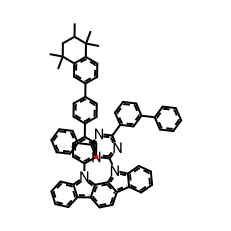 CC1CC(C)(C)c2cc(-c3ccc(-c4ccc(-n5c6ccccc6c6ccc7c8ccccc8n(-c8nc(-c9ccccc9)nc(-c9cccc(-c%10ccccc%10)c9)n8)c7c65)cc4)cc3)ccc2C1(C)C